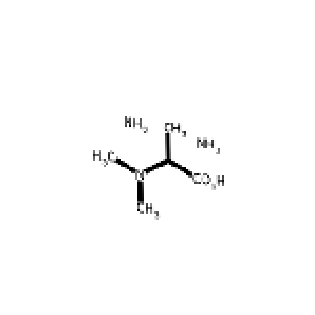 CC(C(=O)O)N(C)C.N.N